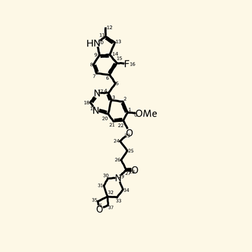 COc1cc2c(Cc3ccc4[nH]c(C)cc4c3F)ncnc2cc1OCCCC(=O)N1CCC2(CC1)COC2